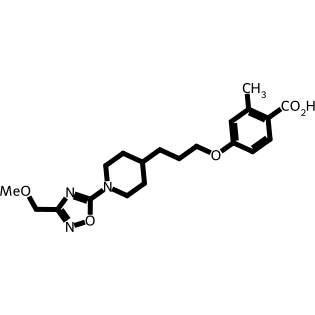 COCc1noc(N2CCC(CCCOc3ccc(C(=O)O)c(C)c3)CC2)n1